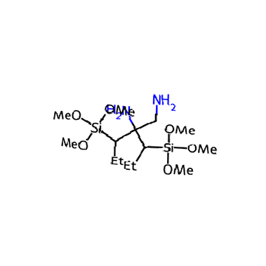 CCC(C(N)(CN)C(CC)[Si](OC)(OC)OC)[Si](OC)(OC)OC